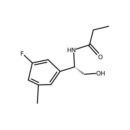 CCC(=O)N[C@H](CO)c1cc(C)cc(F)c1